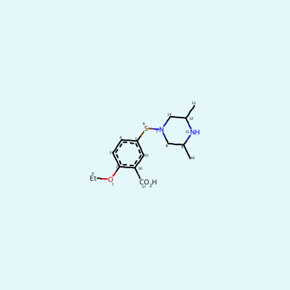 CCOc1ccc(SN2CC(C)NC(C)C2)cc1C(=O)O